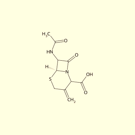 C=C1CS[C@H]2C(NC(C)=O)C(=O)N2C1C(=O)O